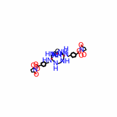 O=C(ON1C(=O)CCC1=O)c1ccc(CNC23CNCCNCC(NCc4ccc(C(=O)ON5C(=O)CCC5=O)cc4)(CNCCNC2)CNCCNC3)cc1